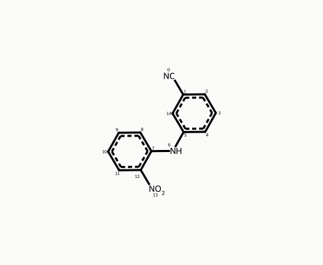 N#Cc1cccc(Nc2ccccc2[N+](=O)[O-])c1